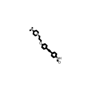 CN(C)C1CCN(CCCOc2ccc(C#Cc3ccc(NC=O)cc3)cc2)CC1